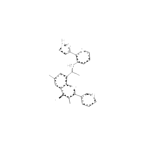 Cc1cc(C(C)Nc2cccnc2-c2cc[nH]n2)c2oc(-c3cccnc3)c(C)c(=O)c2c1